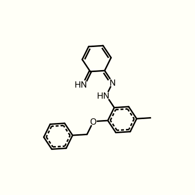 Cc1ccc(OCc2ccccc2)c(N/N=C2/C=CC=CC2=N)c1